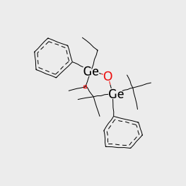 C[CH2][Ge]([CH2]C)([O][Ge]([c]1ccccc1)([C](C)(C)C)[C](C)(C)C)[c]1ccccc1